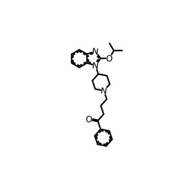 CC(C)Oc1nc2ccccc2n1C1CCN(CCCC(=O)c2ccccc2)CC1